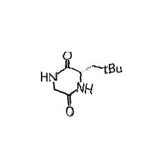 CC(C)(C)C[C@@H]1NC(=O)CNC1=O